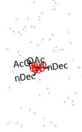 CCCCCCCCCCCCCC(=O)OC[C@H](COP(=O)(O)OCC(COC(C)=O)OC(C)=O)OC(=O)CCCCCCCCCCCCC